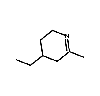 CCC1CCN=C(C)C1